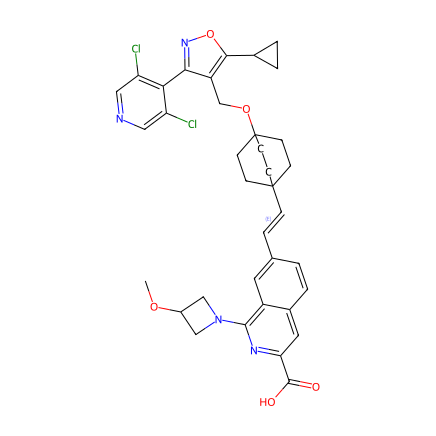 COC1CN(c2nc(C(=O)O)cc3ccc(/C=C/C45CCC(OCc6c(-c7c(Cl)cncc7Cl)noc6C6CC6)(CC4)CC5)cc23)C1